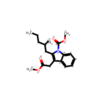 CCCC(C)Cc1c(CC(=O)OC)c2ccccc2n1C(=O)OC